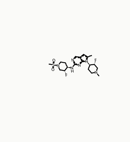 Cc1cc2cnc(N[C@@H]3CCN(S(C)(=O)=O)C[C@H]3F)nc2n1[C@@H]1CCN(C)C[C@H]1F